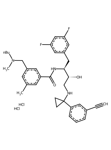 C#Cc1cccc(C2(NC[C@@H](O)[C@H](Cc3cc(F)cc(F)c3)NC(=O)c3cc(C)cc(CN(C)CCCC)c3)CC2)c1.Cl.Cl